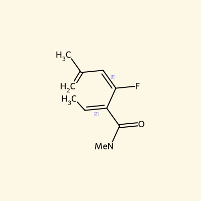 C=C(C)/C=C(F)\C(=C/C)C(=O)NC